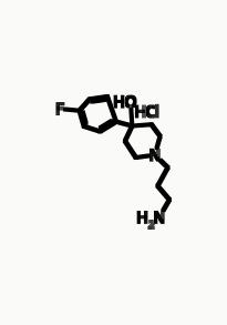 Cl.NCCCN1CCC(O)(c2ccc(F)cc2)CC1